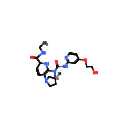 O=C(NCC(F)(F)F)C1C=CC2=C(N1)N(C(=O)Nc1cc(OCCO)ccn1)[C@H]1CCN2C1